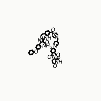 NC(=O)c1c(-c2ccc(Oc3ccccc3)cc2)nn2c1Nc1cc(C(=O)N3CCN(CC4CCN(c5ccc6c(c5)C(=O)N(C5CCC(=O)NC5=O)C6=O)CC4)CC3)ccc1CC2